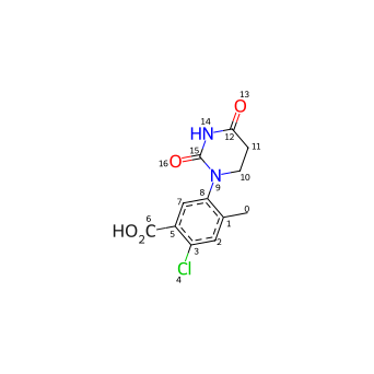 Cc1cc(Cl)c(C(=O)O)cc1N1CCC(=O)NC1=O